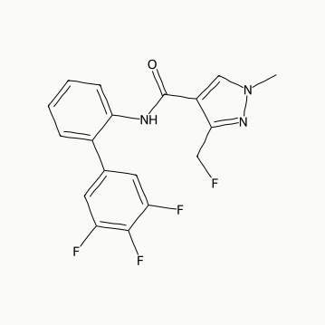 Cn1cc(C(=O)Nc2ccccc2-c2cc(F)c(F)c(F)c2)c(CF)n1